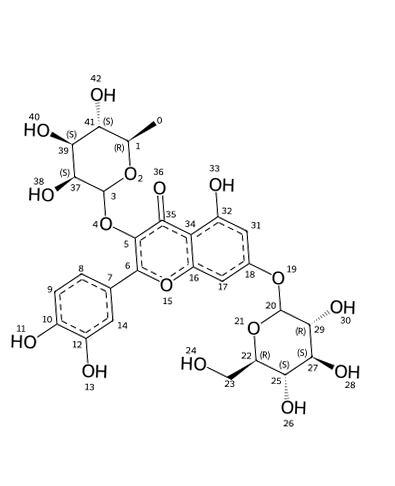 C[C@H]1OC(Oc2c(-c3ccc(O)c(O)c3)oc3cc(OC4O[C@H](CO)[C@@H](O)[C@H](O)[C@H]4O)cc(O)c3c2=O)[C@@H](O)[C@@H](O)[C@@H]1O